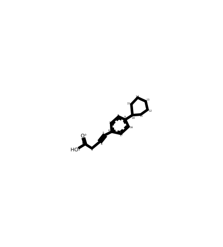 O=C(O)CC#Cc1ccc(C2CCCCC2)cc1